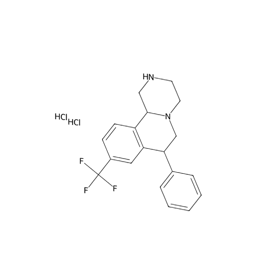 Cl.Cl.FC(F)(F)c1ccc2c(c1)C(c1ccccc1)CN1CCNCC21